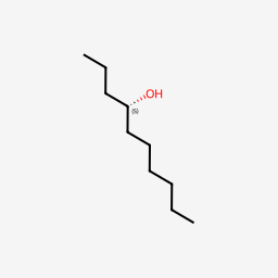 CCCCCC[C@@H](O)CCC